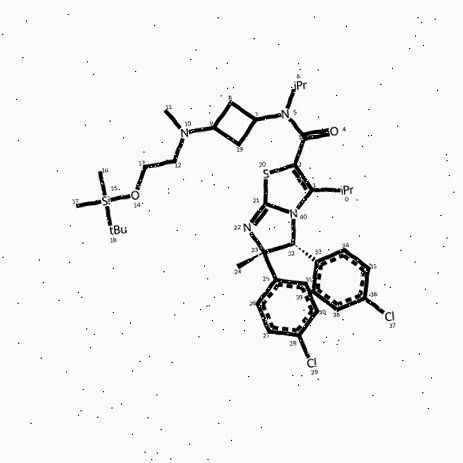 CC(C)C1=C(C(=O)N(C(C)C)C2CC(N(C)CCO[Si](C)(C)C(C)(C)C)C2)SC2=N[C@@](C)(c3ccc(Cl)cc3)[C@@H](c3ccc(Cl)cc3)N21